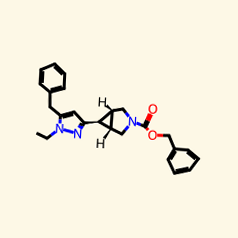 CCn1nc([C@H]2[C@@H]3CN(C(=O)OCc4ccccc4)C[C@@H]32)cc1Cc1ccccc1